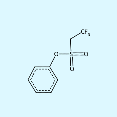 O=S(=O)(CC(F)(F)F)Oc1ccccc1